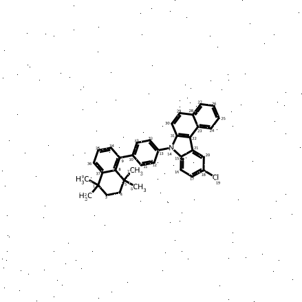 CC1(C)CCC(C)(C)c2c(-c3ccc(-n4c5ccc(Cl)cc5c5c6ccccc6ccc54)cc3)cccc21